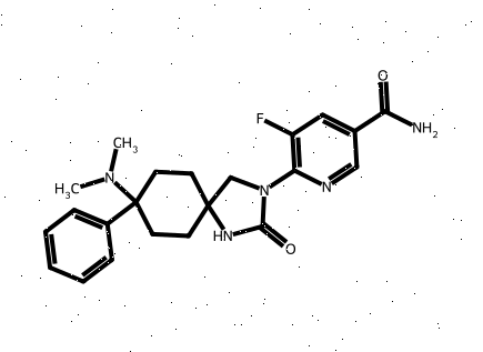 CN(C)C1(c2ccccc2)CCC2(CC1)CN(c1ncc(C(N)=O)cc1F)C(=O)N2